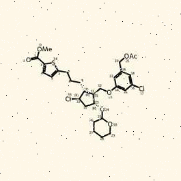 COC(=O)c1ccc(CCC[C@@H]2[C@@H](COc3cc(Cl)cc(COC(C)=O)c3)[C@H](OC3CCCCO3)C[C@H]2Cl)s1